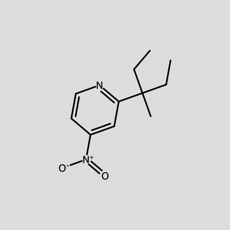 CCC(C)(CC)c1cc([N+](=O)[O-])ccn1